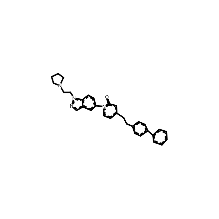 O=c1cc(CCc2ccc(-c3ccccc3)cc2)ccn1-c1ccc2c(cnn2CCN2CCCC2)c1